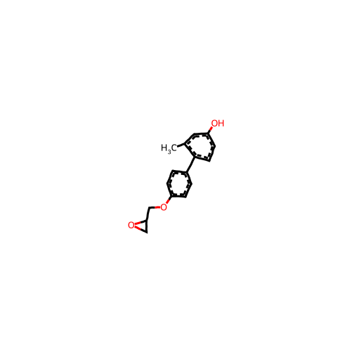 Cc1cc(O)ccc1-c1ccc(OCC2CO2)cc1